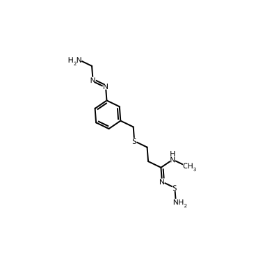 CN/C(CCSCc1cccc(/N=N/CN)c1)=N\SN